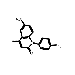 Cc1cc(=O)n(-c2ccc(C(F)(F)F)cc2)c2ccc(N)cc12